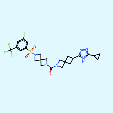 O=C(N1CC2(CC(c3nnc(C4CC4)[nH]3)C2)C1)N1CC2(C1)CN(S(=O)(=O)c1cc(F)cc(C(F)(F)F)c1)C2